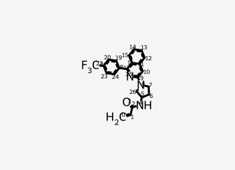 C=CC(=O)NC1CCN(c2cc3ccccc3c(-c3ccc(C(F)(F)F)cc3)n2)C1